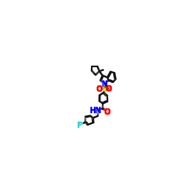 CC1(c2cn(S(=O)(=O)c3ccc(C(=O)NCc4ccc(F)cc4)cc3)c3ccccc23)CCCC1